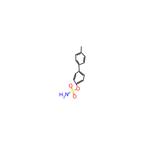 Cc1ccc(-c2ccc(OS(N)(=O)=O)cc2)cc1